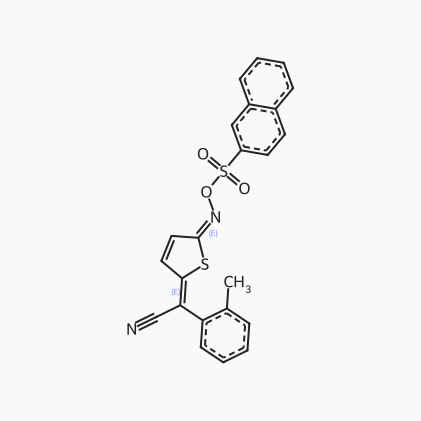 Cc1ccccc1/C(C#N)=C1C=C/C(=N\OS(=O)(=O)c2ccc3ccccc3c2)S/1